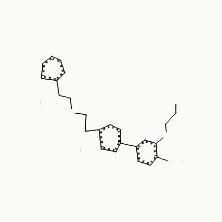 Cl.O=C(O)c1ccc(-c2ccc(CCNC[C@H](O)c3ccccc3)cc2)cc1OCCF